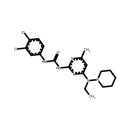 CCN(c1cc(C)nc(NC(=O)Nc2ccc(Cl)c(Cl)c2)n1)N1CCCCC1